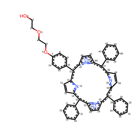 OCCOCCOc1ccc(-c2c3nc(c(-c4ccccc4)c4ccc([nH]4)c(-c4ccccc4)c4nc(c(-c5ccccc5)c5ccc2[nH]5)C=C4)C=C3)cc1